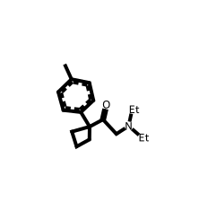 CCN(CC)CC(=O)C1(c2ccc(C)cc2)CCC1